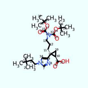 CC(C)(C)CCn1cnc([C@@]2(CCCN(C(=O)OC(C)(C)C)C(=O)OC(C)(C)C)C[C@H]2C(=O)O)c1